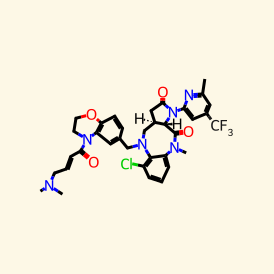 Cc1cc(C(F)(F)F)cc(N2C(=O)C[C@@H]3CN(Cc4ccc5c(c4)N(C(=O)/C=C/CN(C)C)CCO5)c4c(Cl)cccc4N(C)C(=O)[C@H]32)n1